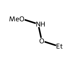 CCONOC